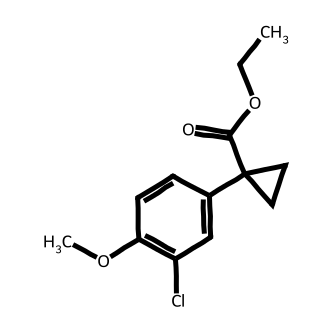 CCOC(=O)C1(c2ccc(OC)c(Cl)c2)CC1